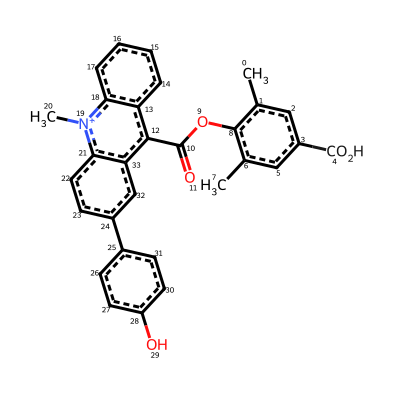 Cc1cc(C(=O)O)cc(C)c1OC(=O)c1c2ccccc2[n+](C)c2ccc(-c3ccc(O)cc3)cc12